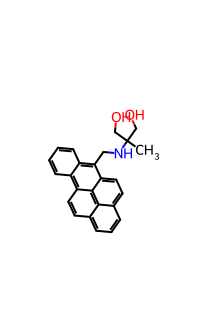 CC(CO)(CO)NCc1c2ccccc2c2ccc3cccc4ccc1c2c43